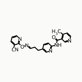 Cc1ccncc1C(=O)Nc1ccc(CC/C=N/Oc2ncccc2C#N)cn1